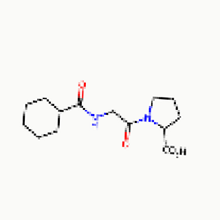 O=C(NCC(=O)N1CCCC1C(=O)O)C1CCCCC1